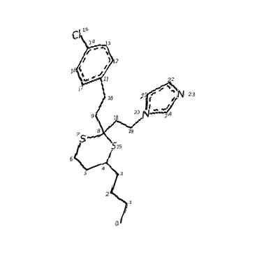 CCCCC1CCSC(CCc2ccc(Cl)cc2)(CCn2ccnc2)S1